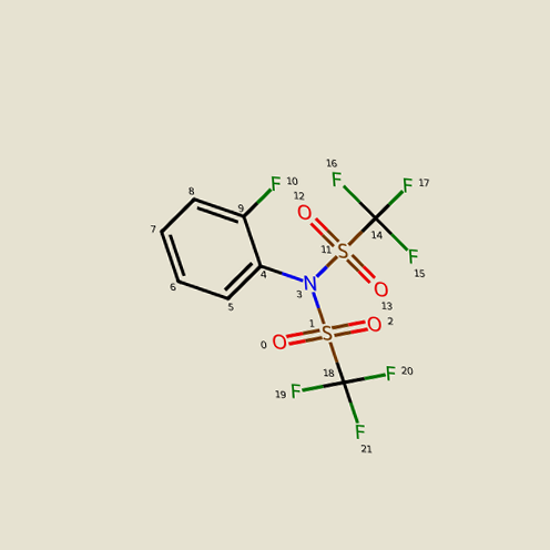 O=S(=O)(N(c1ccccc1F)S(=O)(=O)C(F)(F)F)C(F)(F)F